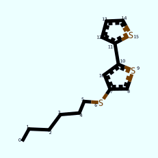 CCCCCCSc1csc(-c2cccs2)c1